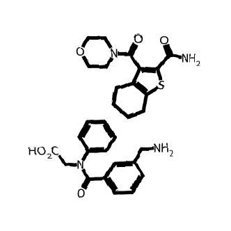 NC(=O)c1sc2c(c1C(=O)N1CCOCC1)CCCC2.NCc1cccc(C(=O)N(CC(=O)O)c2ccccc2)c1